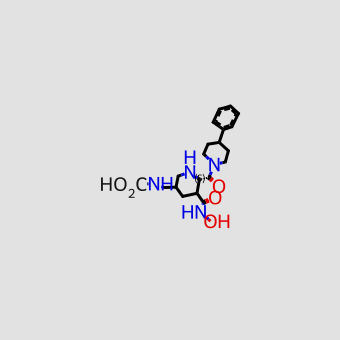 O=C(O)NCC1CN[C@H](C(=O)N2CCC(c3ccccc3)CC2)C(C(=O)NO)C1